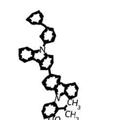 CC(C)c1c(O)cccc1-n1c2ccccc2c2cc(-c3ccc4c(c3)c3ccccc3n4-c3cccc(-c4ccccc4)c3)ccc21